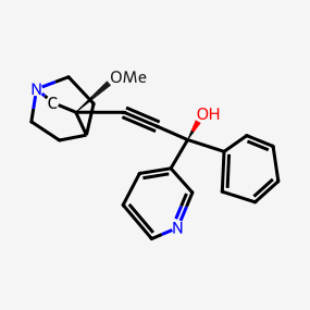 CO[C@]1(C#C[C@](O)(c2ccccc2)c2cccnc2)CN2CCC1CC2